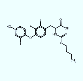 CCCCOC(=O)NC(Cc1ccc(Oc2ccc(O)cc2I)c(I)c1I)C(=O)O